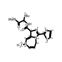 CNC(=O)C(NC(=O)C1N=C(c2nccs2)N2CC=CN(C)C=C12)C(C)(C)C